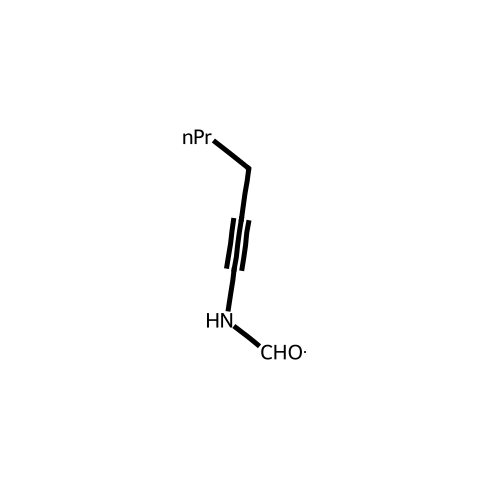 CCCCC#CN[C]=O